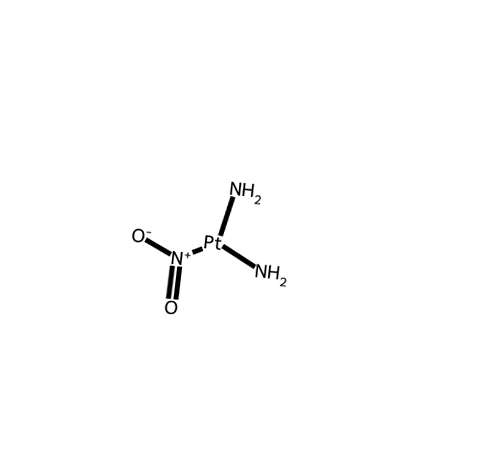 [NH2][Pt]([NH2])[N+](=O)[O-]